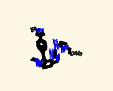 CCn1cc(-c2ccc(-c3c4c(nn3C)CCc3cnc(Nc5ccn(CCOC)n5)nc3-4)cc2)cn1